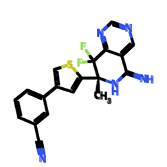 C[C@]1(c2cc(-c3cccc(C#N)c3)cs2)NC(=N)c2cncnc2C1(F)F